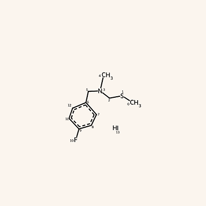 CSCN(C)Cc1ccc(F)cc1.I